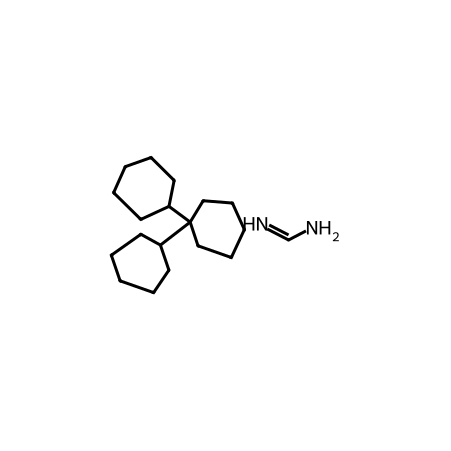 C1CCC(C2(C3CCCCC3)CCCCC2)CC1.N=CN